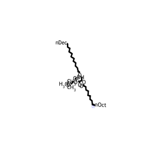 CCCCCCCC/C=C\CCCCCCCC(=O)OC(COC=CCCCCCCCCCCCCCCCCCCCCC)C(=O)P(=O)(O)OCC[N+](C)(C)C